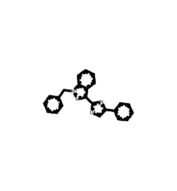 c1ccc(Cn2nc(-c3nc(-c4ccccc4)co3)c3ccccc32)cc1